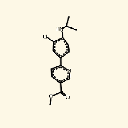 COC(=O)c1ccc(-c2ccc(NC(C)C)c(Cl)c2)nc1